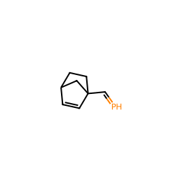 P=CC12C=CC(CC1)C2